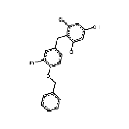 CC(C)c1cc(Cc2c(Cl)cc(O)cc2Cl)ccc1OCc1ccccc1